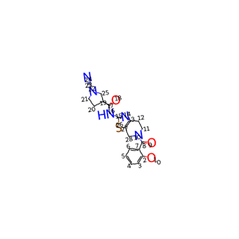 COc1ccccc1C(=O)N1CCc2nc(NC(=O)C3CCN(C#N)C3)sc2C1